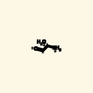 NCC=O.O